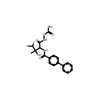 CC(C)(C)C(=O)ONC(=O)C(NC(=O)c1ccc(-c2ccccc2)cc1)C(C)(O)C(F)F